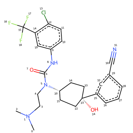 CN(C)CCN(C(=O)Nc1ccc(Cl)c(C(F)(F)F)c1)[C@H]1CC[C@](O)(c2cccc(C#N)c2)CC1